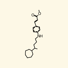 COC(=O)/C=C/c1ccc(NCCCC(C)C2CCCCCC2)cc1